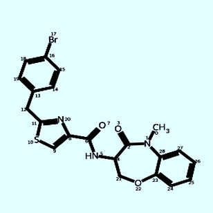 CN1C(=O)C(NC(=O)c2csc(Cc3ccc(Br)cc3)n2)COc2ccccc21